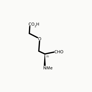 CN[C@H](C=O)COCC(=O)O